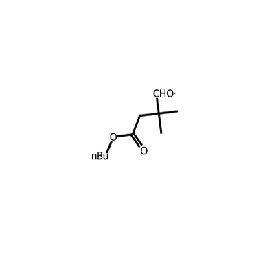 CCCCOC(=O)CC(C)(C)[C]=O